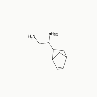 CCCCCCC(CN)C1CC2C=CC1C2